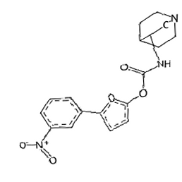 O=C(NC1CN2CCC1CC2)Oc1ccc(-c2cccc([N+](=O)[O-])c2)o1